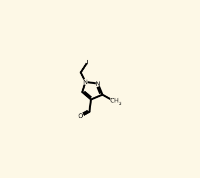 Cc1nn(CI)cc1C=O